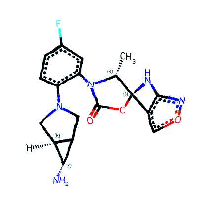 C[C@H]1N(c2cc(F)ccc2N2CC3[C@H](N)[C@H]3C2)C(=O)O[C@]12Nc1nocc12